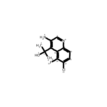 CC(C)(O)c1c(N)cnc2ccc(Cl)c(F)c12